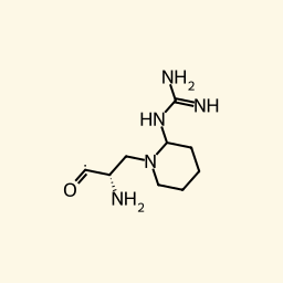 N=C(N)NC1CCCCN1C[C@H](N)[C]=O